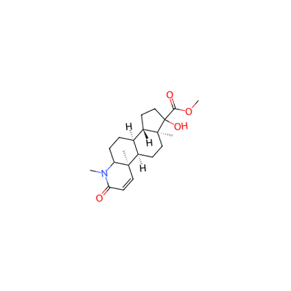 COC(=O)C1(O)CC[C@H]2[C@@H]3CCC4N(C)C(=O)C=C[C@]4(C)[C@@H]3CC[C@@]21C